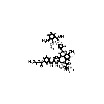 CCOC(=O)c1cccc(NC(=O)NC2CN(C(=O)C(C)(C)C)c3ccc(C)cc3N(CC(=O)c3ccsc3)C2=O)c1.CCc1c(N)cccc1C(=O)O